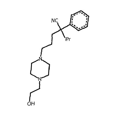 CC(C)C(C#N)(CCCN1CCN(CCO)CC1)c1ccccc1